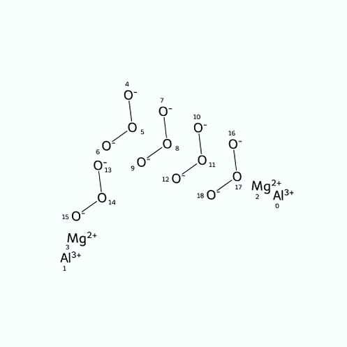 [Al+3].[Al+3].[Mg+2].[Mg+2].[O-]O[O-].[O-]O[O-].[O-]O[O-].[O-]O[O-].[O-]O[O-]